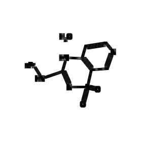 CCCNC1=NS(=O)(=O)c2cnccc2N1.O